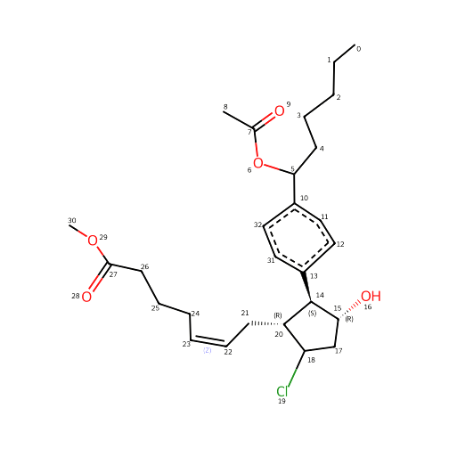 CCCCCC(OC(C)=O)c1ccc([C@H]2[C@H](O)CC(Cl)[C@@H]2C/C=C\CCCC(=O)OC)cc1